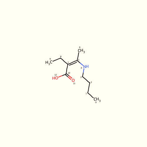 CCCCNC(C)=C(CC)C(=O)O